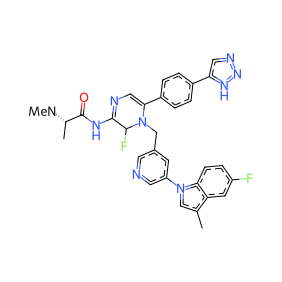 CN[C@@H](C)C(=O)NC1=NC=C(c2ccc(-c3cnn[nH]3)cc2)N(Cc2cncc(-n3cc(C)c4cc(F)ccc43)c2)C1F